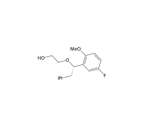 COc1ccc(F)cc1[C@H](CC(C)C)OCCO